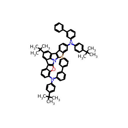 CC(C)(C)c1ccc(N(c2cccc(-c3ccccc3)c2)c2ccc3c(c2)sc2c3c3cc(C(C)(C)C)cc4c5c6cccc(N(c7ccc(C(C)(C)C)cc7)c7cccc(-c8ccccc8)c7)c6oc5n2c43)cc1